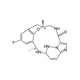 C[C@H]1NC2C=Cc3ncc(n3N2)C(=O)NC[C@@]2(C)Cc3cc(F)cc1c3O2